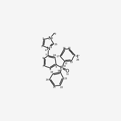 Cn1cc[n+](-c2cccc(P(=O)(c3ccccc3)c3ccccc3)c2)c1.[I-]